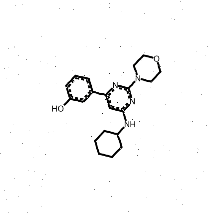 Oc1cccc(-c2cc(NC3CCCCC3)nc(N3CCOCC3)n2)c1